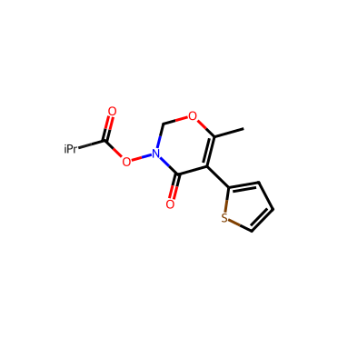 CC1=C(c2cccs2)C(=O)N(OC(=O)C(C)C)CO1